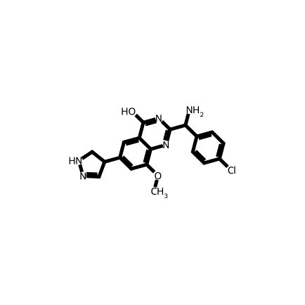 COc1cc(C2C=NNC2)cc2c(O)nc(C(N)c3ccc(Cl)cc3)nc12